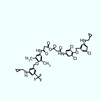 Cc1cc(NC(=O)CC(=O)OC(=O)CC(=O)Nc2cc(Cl)c(OCc3cc(Cl)cc(NCC4CC4)c3)c(Cl)c2)cc(C)c1OCc1cc(NCC2CC2)cc(C(F)(F)F)c1